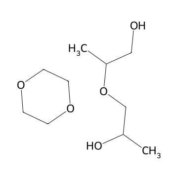 C1COCCO1.CC(O)COC(C)CO